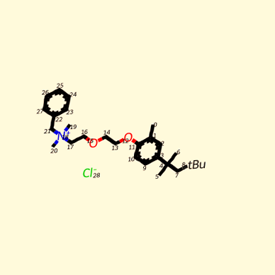 Cc1cc(C(C)(C)CC(C)(C)C)ccc1OCCOCC[N+](C)(C)Cc1ccccc1.[Cl-]